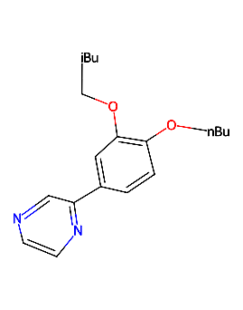 CCCCOc1ccc(-c2cnccn2)cc1OCC(C)CC